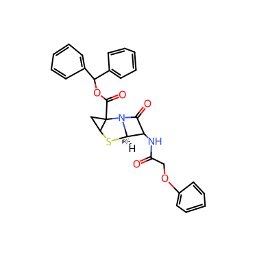 O=C(COc1ccccc1)NC1C(=O)N2[C@@H]1SC1CC12C(=O)OC(c1ccccc1)c1ccccc1